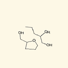 CCCC(O)CO.OCC1CCCO1